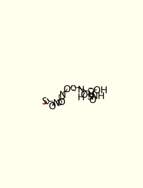 O=C(Cc1ccsc1)N1CCOC2(CCN(CCOc3ccc(CNCC(O)c4ccc(O)c5[nH]c(=O)sc45)cc3)CC2)C1